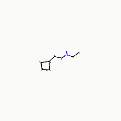 CCNCCC1CCC1